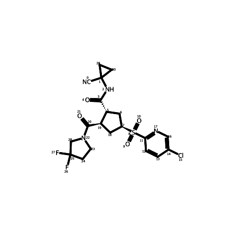 N#CC1(NC(=O)[C@@H]2C[C@@H](S(=O)(=O)c3ccc(Cl)cn3)C[C@H]2C(=O)N2CCC(F)(F)C2)CC1